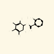 O=C(OC1C(Cl)=C(Cl)C(Cl)=C(Cl)[C@H]1Cl)c1ccccc1O